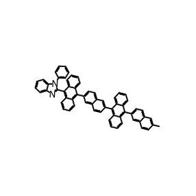 Cc1ccc2cc(-c3c4ccccc4c(-c4ccc5cc(-c6c7ccccc7c(-c7nc8ccccc8n7-c7ccccc7)c7ccccc67)ccc5c4)c4ccccc34)ccc2c1